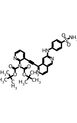 CC(C)(C)OC(=O)N(C(=O)OC(C)(C)C)c1ncccc1C#Cc1nccc2cnc(Nc3ccc(S(N)(=O)=O)cc3)cc12